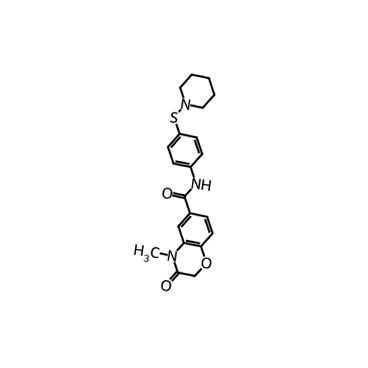 CN1C(=O)COc2ccc(C(=O)Nc3ccc(SN4CCCCC4)cc3)cc21